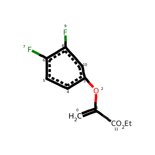 C=C(Oc1ccc(F)c(F)c1)C(=O)OCC